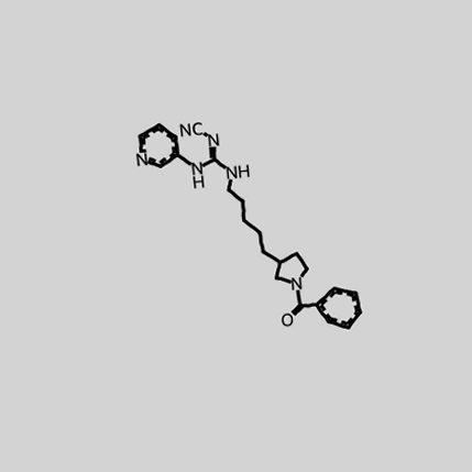 N#CN=C(NCCCCCC1CCN(C(=O)c2ccccc2)C1)Nc1cccnc1